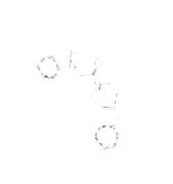 O=C(CNc1ccccc1)N1CCC(Cc2ccccc2)CC1